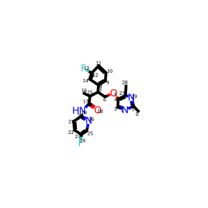 Cc1ncc(OCC(c2cccc(F)c2)C(C)C(=O)Nc2ccc(F)cn2)c(C)n1